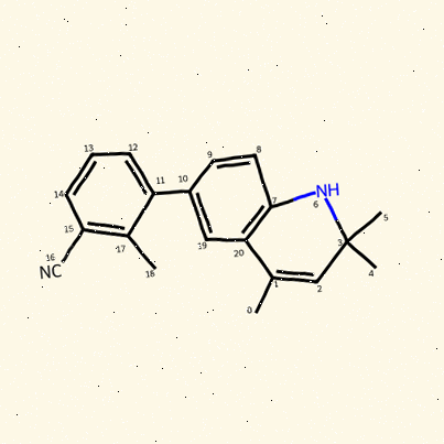 CC1=CC(C)(C)Nc2ccc(-c3cccc(C#N)c3C)cc21